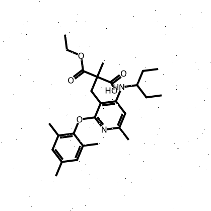 CCOC(=O)C(C)(Cc1c(NC(CC)CC)cc(C)nc1Oc1c(C)cc(C)cc1C)C(=O)O